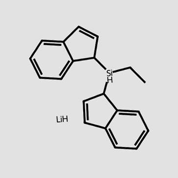 CC[SiH](C1C=Cc2ccccc21)C1C=Cc2ccccc21.[LiH]